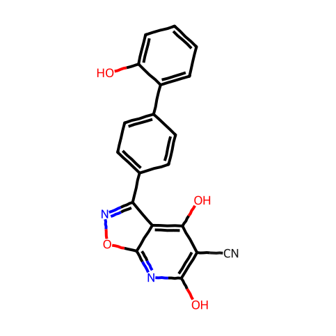 N#Cc1c(O)nc2onc(-c3ccc(-c4ccccc4O)cc3)c2c1O